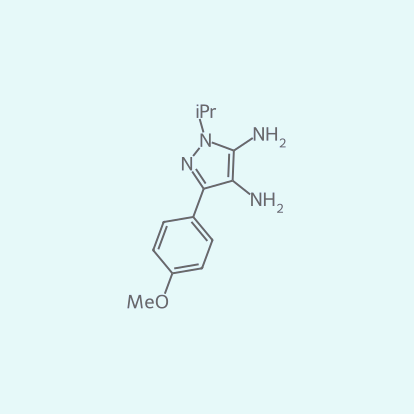 COc1ccc(-c2nn(C(C)C)c(N)c2N)cc1